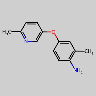 Cc1ccc(Oc2ccc(N)c(C)c2)cn1